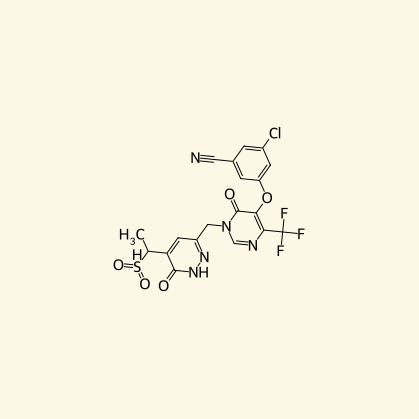 CC(c1cc(Cn2cnc(C(F)(F)F)c(Oc3cc(Cl)cc(C#N)c3)c2=O)n[nH]c1=O)[SH](=O)=O